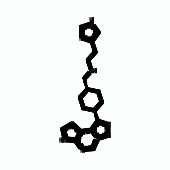 c1nc(CCNC[C@H]2CC[C@H](c3nnn4cnc5[nH]ccc5c34)CC2)c[nH]1